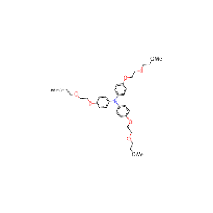 COCCOCCOc1ccc(N(c2ccc(OCCOCCOC)cc2)c2ccc(OCCOCCOC)cc2)cc1